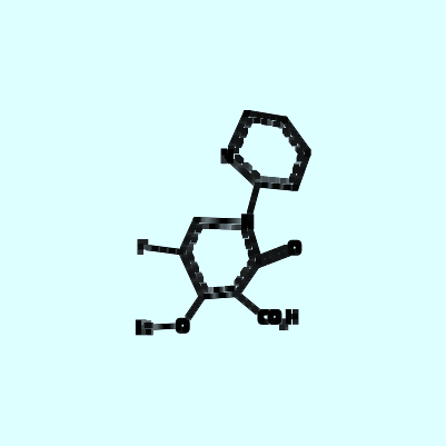 CCOc1c(F)cn(-c2ccccn2)c(=O)c1C(=O)O